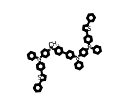 CN(c1ccc(-c2ccc(N(c3ccccc3)c3ccc(N(c4ccccc4)c4ccc(-c5ccc(-c6ccccc6)s5)cc4)cc3)cc2)cc1)c1ccc(N(c2ccccc2)c2ccc(-c3ccc(-c4ccccc4)s3)cc2)cc1